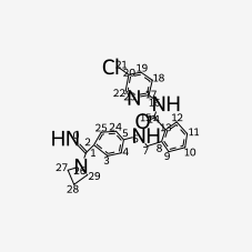 N=C(c1ccc(NCc2ccccc2C(=O)Nc2ccc(Cl)cn2)cc1)N1CCC1